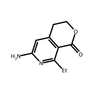 CCc1nc(N)cc2c1C(=O)OCC2